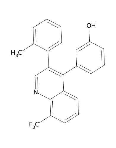 Cc1ccccc1-c1cnc2c(C(F)(F)F)cccc2c1-c1cccc(O)c1